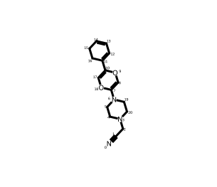 N#CCN1CCN(C2=COC(C3=CC=CCC3)=CO2)CC1